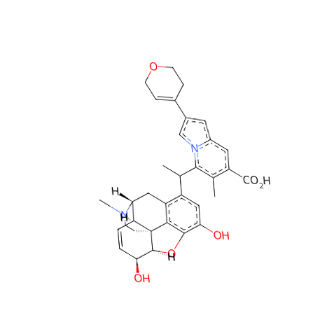 Cc1c(C(=O)O)cc2cc(C3=CCOCC3)cn2c1C(C)c1cc(O)c2c3c1C[C@@H]1[C@@H]4C=C[C@H](O)[C@H](O2)[C@]34CCN1C